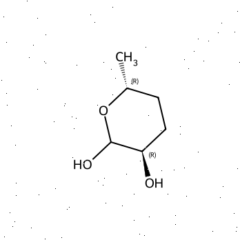 C[C@@H]1CC[C@@H](O)C(O)O1